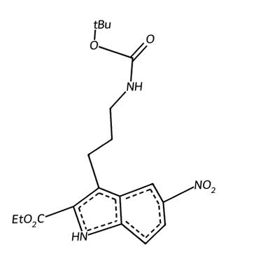 CCOC(=O)c1[nH]c2ccc([N+](=O)[O-])cc2c1CCCNC(=O)OC(C)(C)C